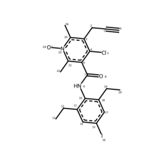 C#CCc1c(Cl)c(C(=O)Nc2c(CC)cc(I)cc2CC)c(C)[n+]([O-])c1C